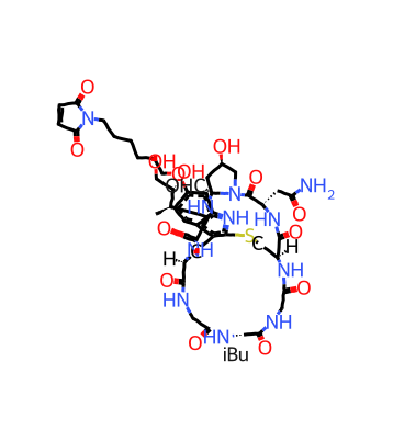 CC[C@H](C)[C@@H]1NC(=O)CNC(=O)[C@@H]2Cc3c([nH]c4cc(OCCCCCCN5C(=O)C=CC5=O)ccc34)SC[C@H](NC(=O)CNC1=O)C(=O)N[C@@H](CC(N)=O)C(=O)N1C[C@H](O)C[C@]1(C=O)N[C@@H]([C@@H](C)[C@@H](O)CO)C(=O)N2